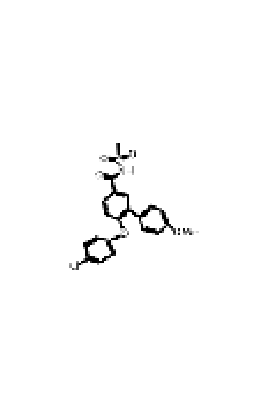 COc1ccc(-c2cc(C(=O)NS(C)(=O)=O)ccc2Oc2ccc(Cl)cc2)cc1